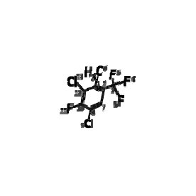 Cc1c(C(F)(F)F)cc(Cl)c(F)c1Cl